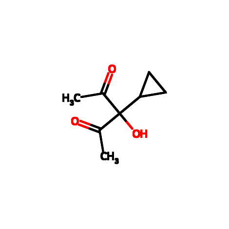 CC(=O)C(O)(C(C)=O)C1CC1